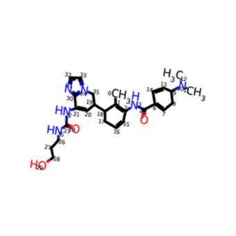 CC1=C(NC(=O)C2=CCC(N(C)C)C=C2)C=CCC1C1C=C(NC(=O)NCCCO)c2nccn2C1